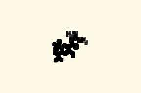 CCc1cc(C(C)=C(C)C)c(S(C)(=O)=O)cc1C(=O)N=C(N)N